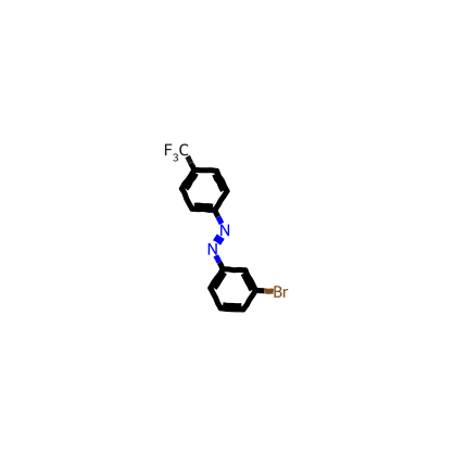 FC(F)(F)c1ccc(/N=N/c2cccc(Br)c2)cc1